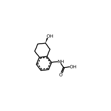 O=C(O)Nc1cccc2c1C[C@H](O)CC2